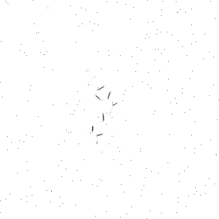 CC(=C\[C@@H](C)C(=O)c1ccc(N(C)C)cc1)/C=C(/O)C(N)=O